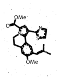 COC(=O)c1cc(-c2nccs2)c2n1CCc1cc(OC)c(C=C(C)C)cc1-2